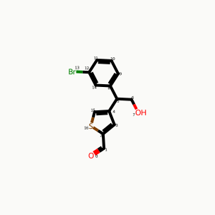 O=Cc1cc(C(CO)c2cccc(Br)c2)cs1